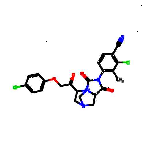 Cc1c(N2C(=O)C3CN4CC(C(=O)COc5ccc(Cl)cc5)[N+]3(C4)C2=O)ccc(C#N)c1Cl